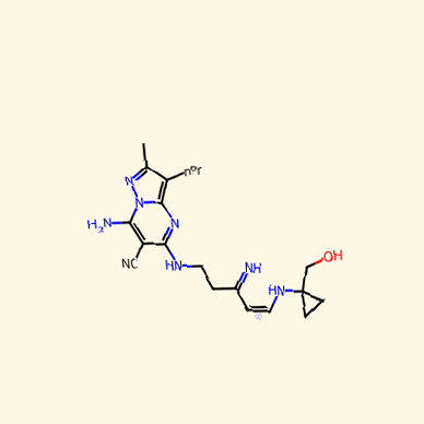 CCCc1c(C)nn2c(N)c(C#N)c(NCCC(=N)/C=C\NC3(CO)CC3)nc12